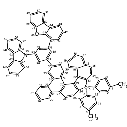 Cc1ccc([Si]2(c3ccc(C)cc3)c3ccc4ccccc4c3-c3c2ccc2c4ccccc4c4cc(-c5cc(-c6cccc7c6oc6ccccc67)cc(-n6c7ccccc7c7ccccc76)c5)ccc4c32)cc1